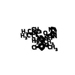 COc1ccc(Cl)cc1C1(C)NN(CC(=O)N(C)C(C)(C)C)C=C1NC(=O)c1cnn2cccnc12